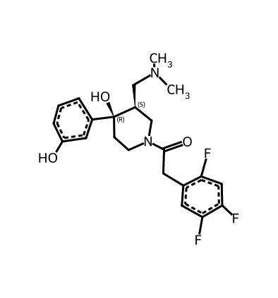 CN(C)C[C@H]1CN(C(=O)Cc2cc(F)c(F)cc2F)CC[C@]1(O)c1cccc(O)c1